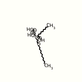 CCCCCCCCCCCCOCC(O)CN(C(=O)CCCCCCCCC)C(O)CS(=O)(=O)O